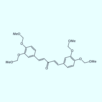 COCOc1ccc(C=CC(=O)C=Cc2ccc(OCOC)c(OCOC)c2)cc1OCOC